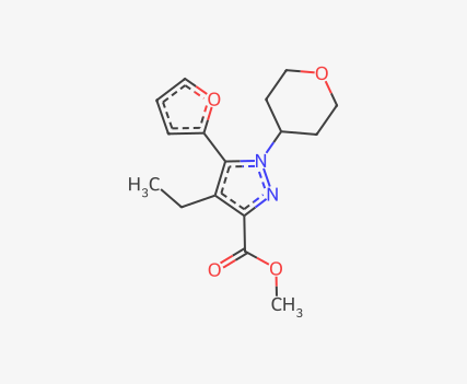 CCc1c(C(=O)OC)nn(C2CCOCC2)c1-c1ccco1